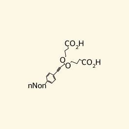 CCCCCCCCCc1ccc(C#CC(OCCCC(=O)O)OCCCC(=O)O)cc1